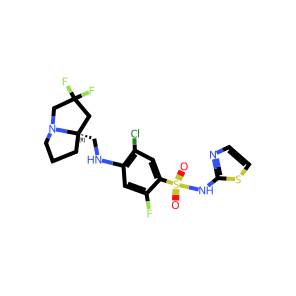 O=S(=O)(Nc1nccs1)c1cc(Cl)c(NC[C@]23CCCN2CC(F)(F)C3)cc1F